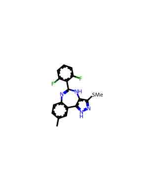 CSc1n[nH]c2c1NC(c1c(F)cccc1F)=Nc1ccc(C)cc1-2